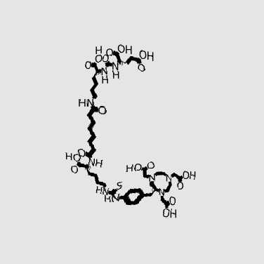 O=C(O)CC[C@H](NC(=O)N[C@@H](CCCCNC(=O)CCCCCCC(=O)N[C@@H](CCCCNC(=S)Nc1ccc(C[C@H]2CN(CC(=O)O)CCN(CC(=O)O)CCN2CC(=O)O)cc1)C(=O)O)C(=O)O)C(=O)O